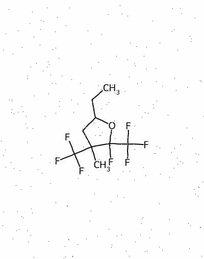 CCC1CC(C)(C(F)(F)F)C(F)(C(F)(F)F)O1